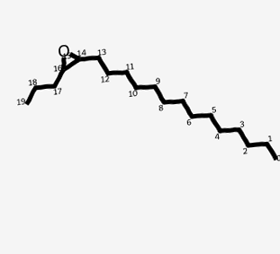 CCCCCCCCCCCCCCC1OC1CCC